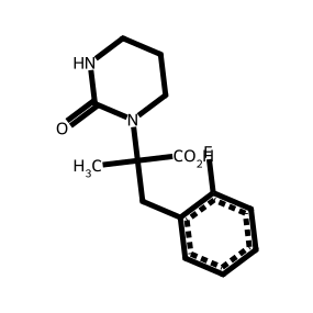 CC(Cc1ccccc1F)(C(=O)O)N1CCCNC1=O